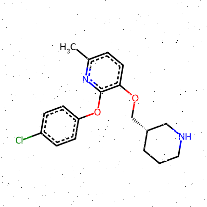 Cc1ccc(OC[C@H]2CCCNC2)c(Oc2ccc(Cl)cc2)n1